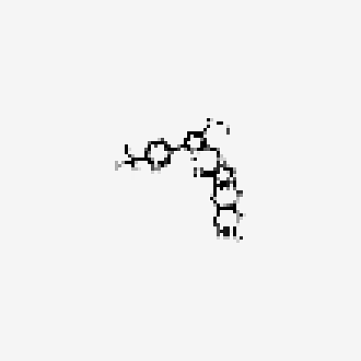 Cc1cc(-c2ccc(C(F)(F)F)nc2)sc1Cn1cnn(CC(CN)=C(F)F)c1=O